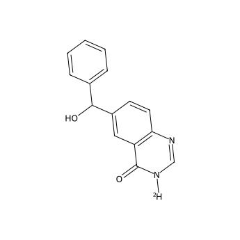 [2H]n1cnc2ccc(C(O)c3ccccc3)cc2c1=O